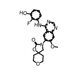 COc1cc2ncnc(Nc3cccc(O)c3F)c2cc1N1CC2(CCOCC2)OC1=O